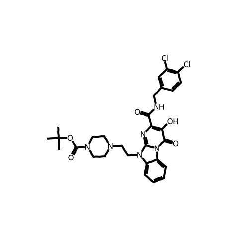 CC(C)(C)OC(=O)N1CCN(CCn2c3ccccc3n3c(=O)c(O)c(C(=O)NCc4ccc(Cl)c(Cl)c4)nc23)CC1